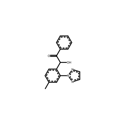 Cc1ccc(C(O)C(=O)c2ccccc2)c(-n2nccn2)c1